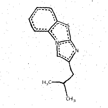 CC(C)Cc1cn2c(n1)sc1ccccc12